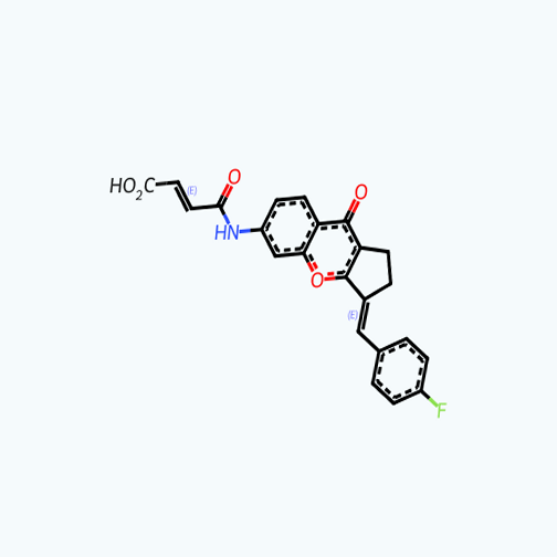 O=C(O)/C=C/C(=O)Nc1ccc2c(=O)c3c(oc2c1)/C(=C/c1ccc(F)cc1)CC3